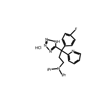 CC(C)N(CCC(c1ccc(F)cc1)(c1ccccn1)c1nnn[nH]1)C(C)C.Cl